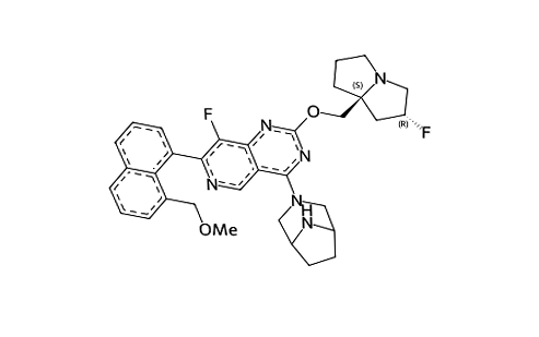 COCc1cccc2cccc(-c3ncc4c(N5CC6CCC(C5)N6)nc(OC[C@@]56CCCN5C[C@H](F)C6)nc4c3F)c12